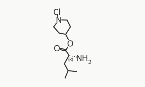 CC(C)C[C@@H](N)C(=O)OC1CCN(Cl)CC1